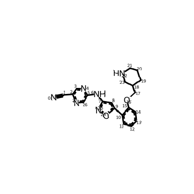 N#Cc1cnc(Nc2cc(-c3ccccc3OCC3CCCNC3)on2)cn1